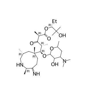 CC[C@@H](OC(=O)[C@H](C)C(=O)[C@H](C)[C@@H](OC1OC(C)CC(N(C)C)C1O)[C@]1(C)CCC(=N)[C@@H](C)NC[C@H](C)C1)C(C)(C)O